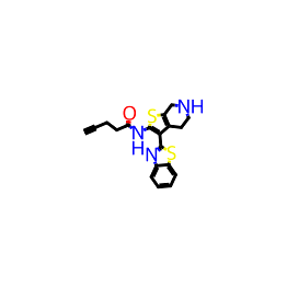 C#CCCC(=O)Nc1sc2c(c1-c1nc3ccccc3s1)CCNC2